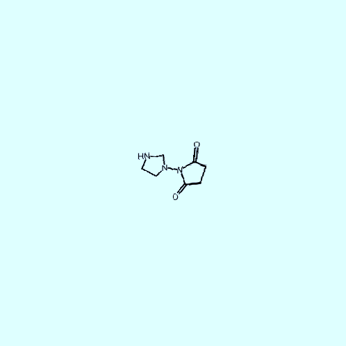 O=C1CCC(=O)N1N1CCNC1